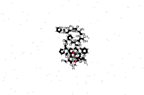 CC[C@H](C)[C@H](NC(=O)[C@@H]1CCCN1C(=O)CNC(=O)[C@@H]1CCCN1C(=O)[C@H](CC(C)C)NC(=O)[C@@H](NC(=O)[C@@H](NC(=O)[C@@H](NC(=O)[C@@H](NC(=O)[C@@H]1CCCN1)C(C)C)C(C)C)C(C)C)[C@@H](C)O)C(=O)N[C@@H](CC(C)C)C(=O)N[C@@H](CO)C(=O)N[C@@H](CO)C(=O)N[C@@H](Cc1ccccc1)C(=O)N1CCC[C@H]1C(=O)N[C@@H](CCC(N)=O)C(=O)O